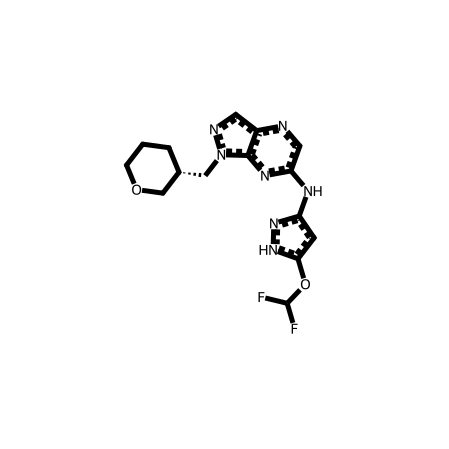 FC(F)Oc1cc(Nc2cnc3cnn(C[C@H]4CCCOC4)c3n2)n[nH]1